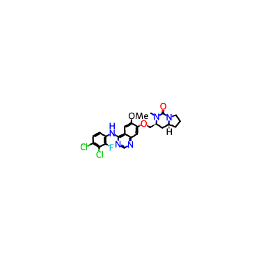 COc1cc2c(Nc3ccc(Cl)c(Cl)c3F)ncnc2cc1OC[C@@H]1C[C@@H]2CCCN2C(=O)N1C